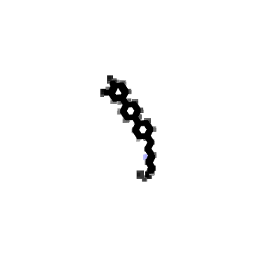 C=C/C=C/CCC1CCC(C2CCC(c3ccc(F)c(F)c3)CC2)CC1